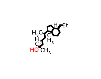 CC/C=C1\CCC[C@]2(C)[C@@H]([C@H](C)CCCC(C)(C)O)CC[C@@H]12